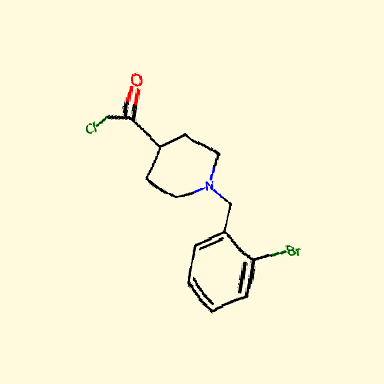 O=C(Cl)C1CCN(Cc2ccccc2Br)CC1